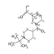 CC(C)(C)N1CCC(C(=O)N2CC3CCC2C(C(=O)I)C3)CC1